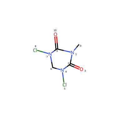 CN1C(=O)N(Cl)CN(Cl)C1=O